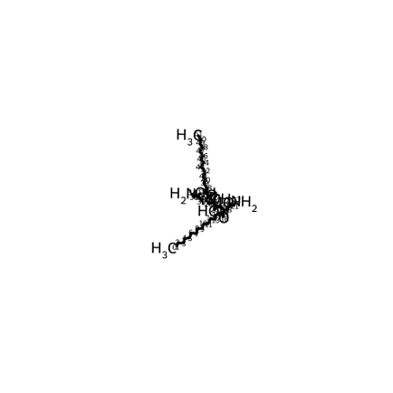 CCCCCCCCCCCCCCCC(=O)N(CC(O)CN)CC(O)C(O)CN(CC(O)CN)C(=O)CCCCCCCCCCCCCCC